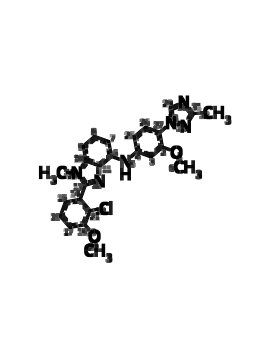 COc1cc(Nc2cccc3c2nc(-c2cccc(OC)c2Cl)n3C)ccc1-n1cnc(C)n1